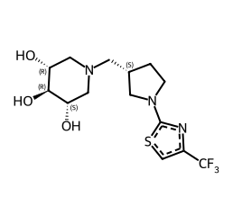 O[C@H]1[C@H](O)CN(C[C@@H]2CCN(c3nc(C(F)(F)F)cs3)C2)C[C@@H]1O